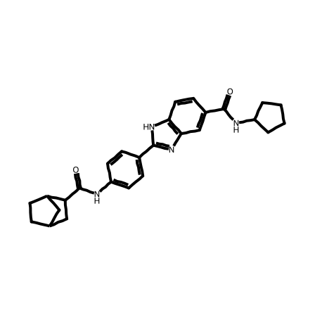 O=C(NC1CCCC1)c1ccc2[nH]c(-c3ccc(NC(=O)C4CC5CCC4C5)cc3)nc2c1